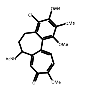 COc1c(Cl)c2c(c(OC)c1OC)-c1ccc(OC)c(=O)cc1C(NC(C)=O)CC2